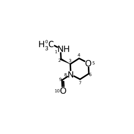 CNC[C@H]1COCCN1C=O